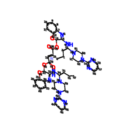 CCCC(NC1=Nc2ccccc2OC1OC(=O)/C=C/C(=O)OC1Oc2ccccc2N=C1NC(CCC)N1CCN(c2ncccn2)CC1)N1CCN(c2ncccn2)CC1